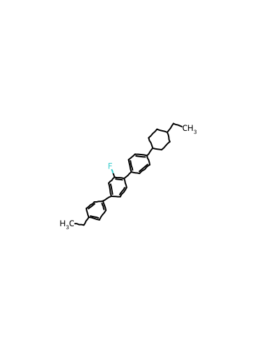 CCc1ccc(-c2ccc(-c3ccc(C4CCC(CC)CC4)cc3)c(F)c2)cc1